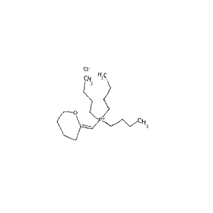 CCCC[P+](/C=C1/CCCCO1)(CCCC)CCCC.[Cl-]